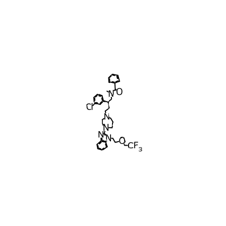 CN(CC(CCN1CCCN(c2nc3ccccc3n2CCOCC(F)(F)F)CC1)c1cccc(Cl)c1)C(=O)c1ccccc1